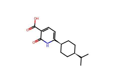 CC(C)[C@H]1CC[C@@H](c2ccc(C(=O)O)c(=O)[nH]2)CC1